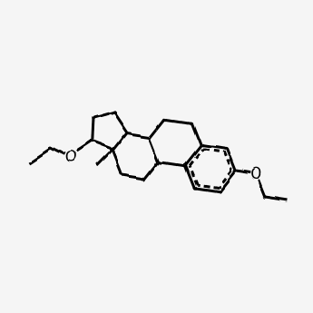 CCOc1ccc2c(c1)CCC1C2CCC2(C)C(OCC)CCC12